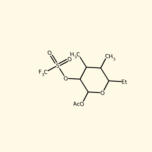 CCC1OC(OC(C)=O)C(OS(=O)(=O)C(F)(F)F)C(C)C1C